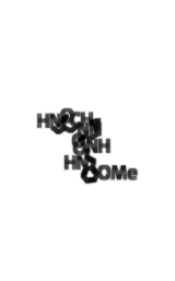 COc1cccc2[nH]c(C(=O)NC(CC3CC3)C(=O)NC(C)CC3CCNC3=O)cc12